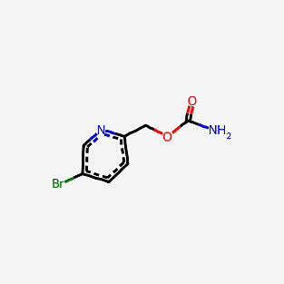 NC(=O)OCc1ccc(Br)cn1